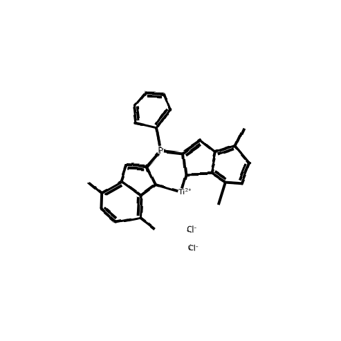 Cc1ccc(C)c2c1C=C1[CH]2[Ti+2][CH]2C(=Cc3c(C)ccc(C)c32)P1c1ccccc1.[Cl-].[Cl-]